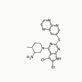 CCc1[nH]c2nc(Sc3cnc4nccnc4c3)nc(N3CCC(C)C(N)C3)c2c1Cl